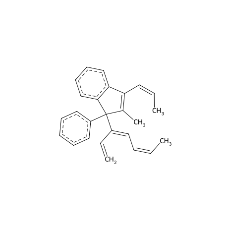 C=C/C(=C\C=C/C)C1(c2ccccc2)C(C)=C(/C=C\C)c2ccccc21